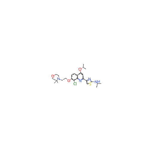 CC(C)Nc1nc(-c2cc(OC(C)C)c3ccc(OCCN4CCOCC4(C)C)c(Cl)c3n2)cs1